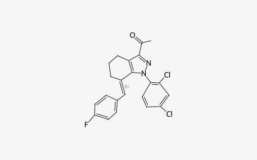 CC(=O)c1nn(-c2ccc(Cl)cc2Cl)c2c1CCC/C2=C\c1ccc(F)cc1